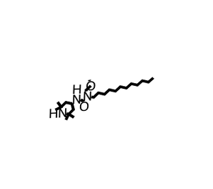 CCCCCCCCCCCCN(COC)C(=O)NC1CC(C)(C)NC(C)(C)C1